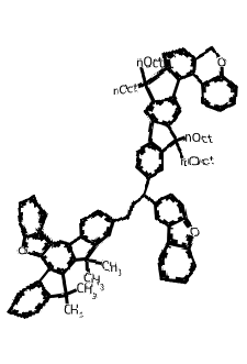 CCCCCCCCC1(CCCCCCCC)c2cc(C(CCc3ccc4c(c3)C(C)(C)c3c5c(c6oc7ccccc7c6c3-4)-c3ccccc3C5(C)C)c3ccc4oc5ccccc5c4c3)ccc2-c2cc3c(cc21)-c1c(ccc2c1-c1ccccc1OC2)C3(CCCCCCCC)CCCCCCCC